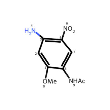 COc1cc(N)c([N+](=O)[O-])cc1NC(C)=O